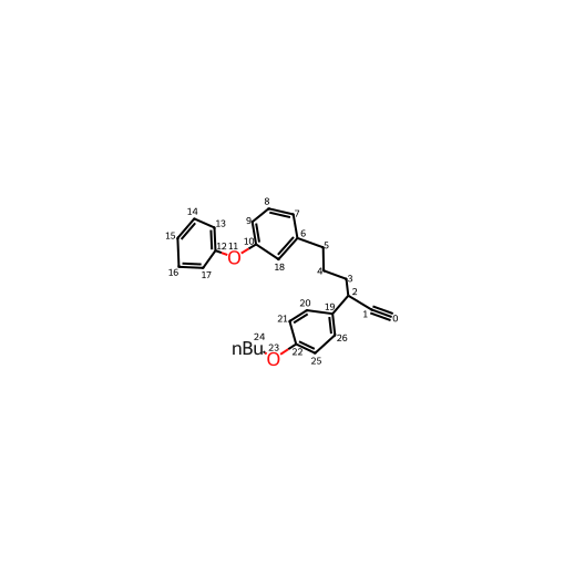 C#CC(CCCc1cccc(Oc2ccccc2)c1)c1ccc(OCCCC)cc1